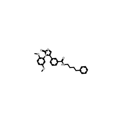 COc1ccc(OC)c(-n2c(-c3cccc(C(=O)NCCCCc4ccccc4)c3)csc2=O)c1